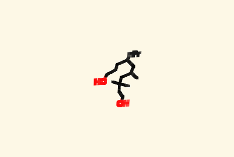 CCCC(CCCO)CC(C)CC(C)(C)CCO